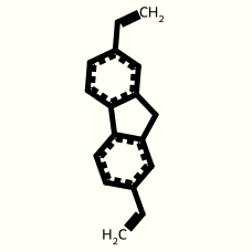 C=Cc1ccc2c(c1)Cc1cc(C=C)ccc1-2